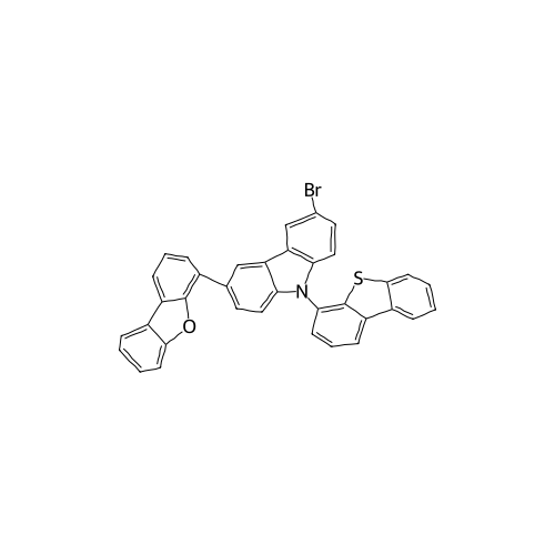 Brc1ccc2c(c1)c1cc(-c3cccc4c3oc3ccccc34)ccc1n2-c1cccc2c1sc1ccccc12